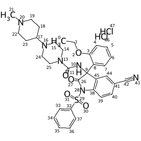 CCOc1ccccc1C1(NC(=O)N2CCN(C3CCN(C)CC3)CC2)C(=O)N(S(=O)(=O)c2ccccc2)c2ccc(C#N)cc21.Cl.Cl